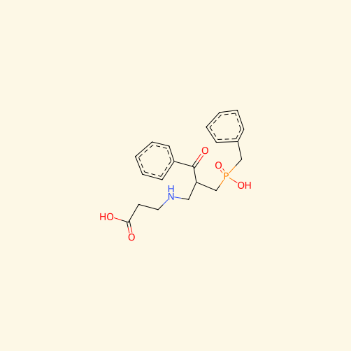 O=C(O)CCNCC(CP(=O)(O)Cc1ccccc1)C(=O)c1ccccc1